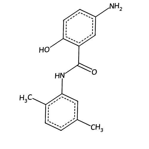 Cc1ccc(C)c(NC(=O)c2cc(N)ccc2O)c1